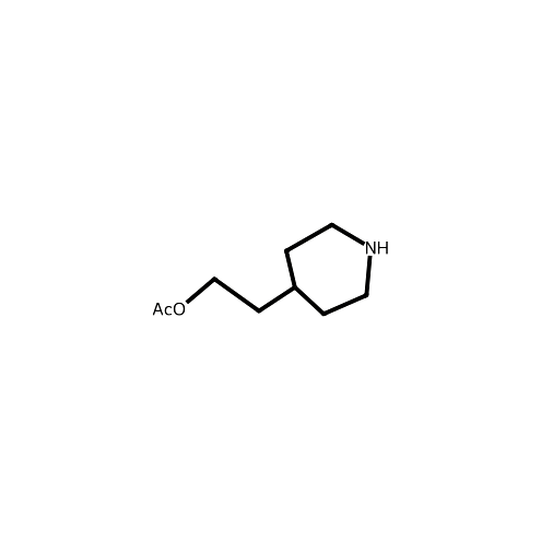 CC(=O)OCCC1CCNCC1